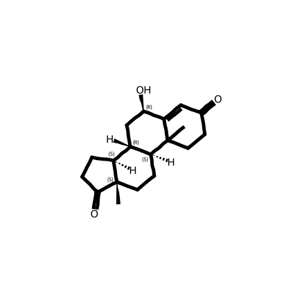 CC12CCC(=O)C=C1[C@H](O)C[C@@H]1[C@@H]2CC[C@]2(C)C(=O)CC[C@@H]12